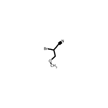 COCC(Br)C#N